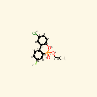 CCOP1(=O)Oc2ccc(Cl)cc2-c2ccc(F)cc21